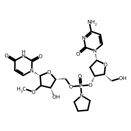 COC1[C@@H](O)[C@@H](COP(=O)(O[C@@H]2C[C@H](n3ccc(N)nc3=O)O[C@@H]2CO)N2CCCC2)O[C@H]1n1ccc(=O)[nH]c1=O